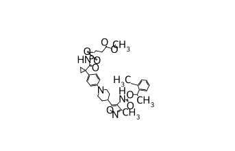 CCc1ccccc1[C@@H](C)OC(=O)Nc1c(C)noc1C1CCN(c2ccc(C3(C(=O)NS(=O)(=O)CCC(=O)OC)CC3)cc2)CC1